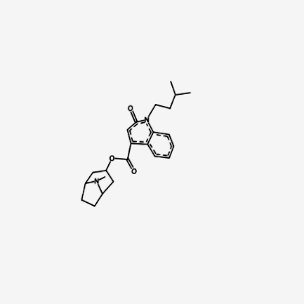 CC(C)CCn1c(=O)cc(C(=O)OC2CC3CCC(C2)N3C)c2ccccc21